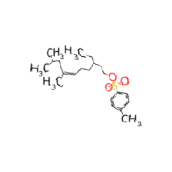 CCC(CCC=C(C)CC(C)C)CCOS(=O)(=O)c1ccc(C)cc1